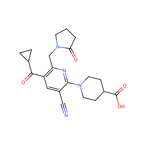 N#Cc1cc(C(=O)C2CC2)c(CN2CCCC2=O)nc1N1CCC(C(=O)O)CC1